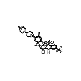 COc1cc(N2CCC(N3CCN(C)CC3)CC2)c(C)cc1Nc1ncc(Cl)c(Nc2cc(C(F)(F)F)ccc2NS(C)(=O)=O)n1